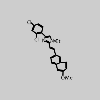 CCn1cc(-c2ccc(Cl)cc2Cl)nc1/C=C/c1ccc2cc(OC)ccc2c1